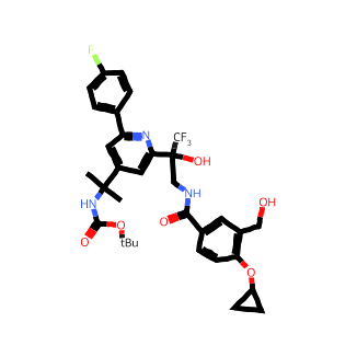 CC(C)(C)OC(=O)NC(C)(C)c1cc(-c2ccc(F)cc2)nc(C(O)(CNC(=O)c2ccc(OC3CC3)c(CO)c2)C(F)(F)F)c1